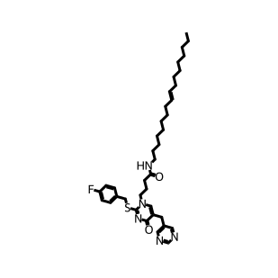 CCCCCCCC/C=C/CCCCCCCCNC(=O)CCCn1cc(Cc2cncnc2)c(=O)nc1SCc1ccc(F)cc1